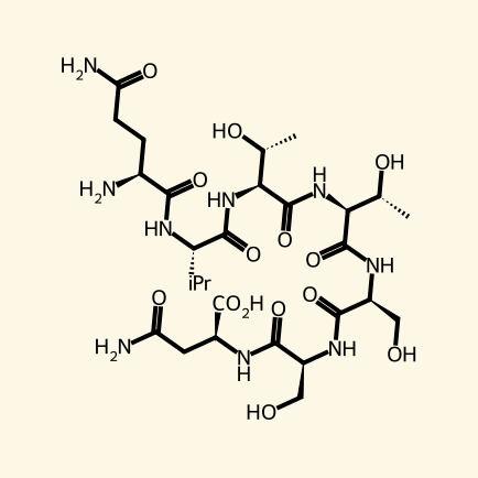 CC(C)[C@H](NC(=O)[C@@H](N)CCC(N)=O)C(=O)N[C@H](C(=O)N[C@H](C(=O)N[C@@H](CO)C(=O)N[C@@H](CO)C(=O)N[C@@H](CC(N)=O)C(=O)O)[C@@H](C)O)[C@@H](C)O